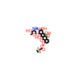 CC(=O)[C@]1(O)Cc2c(O)c3c(c(O)c2[C@@H](OC2CC(N)C(O)C(C)O2)C1)C(=O)c1c(OCOC(=O)C2SCCS2)cccc1C3=O.Cl